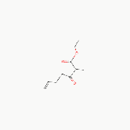 C=CCCC(=O)C(C)C(=O)OCC